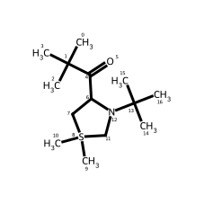 CC(C)(C)C(=O)C1CS(C)(C)CN1C(C)(C)C